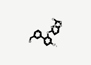 FC(F)(F)c1ccc(-c2cccc(CBr)c2)c(Oc2ccc3nnc(Cl)n3n2)c1